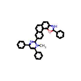 CN1C(c2ccccc2)=CC(c2ccccc2)=NC1c1ccc2c(ccc3ccc4c(c32)OC(c2ccccc2)N4)c1